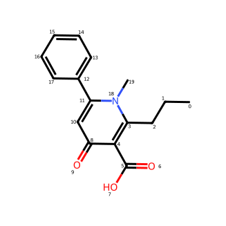 CCCc1c(C(=O)O)c(=O)cc(-c2ccccc2)n1C